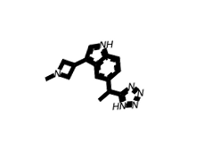 CC(c1ccc2[nH]cc(C3CN(C)C3)c2c1)c1nnn[nH]1